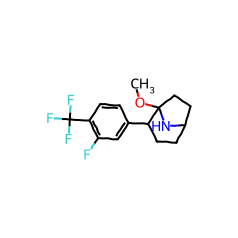 COC12CCC(CCC1c1ccc(C(F)(F)F)c(F)c1)N2